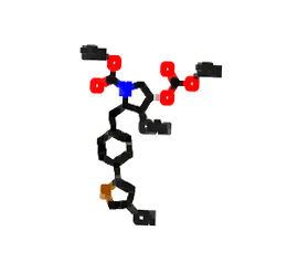 CC(=O)O[C@@H]1[C@@H](OC(=O)OC(C)(C)C)CN(C(=O)OC(C)(C)C)[C@@H]1Cc1ccc(-c2cc(C#N)cs2)cc1